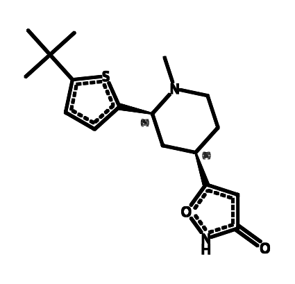 CN1CC[C@@H](c2cc(=O)[nH]o2)C[C@H]1c1ccc(C(C)(C)C)s1